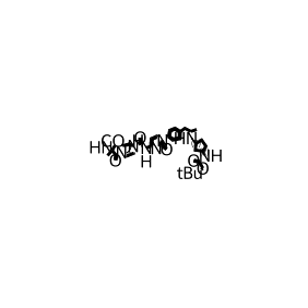 CC(Cc1ccc(-n2ccc(NC(=O)N3CCN(C(=O)C(C)(C)NC(=O)O)CC3)nc2=O)cc1)N[C@H]1CC[C@@H](NC(=O)OC(C)(C)C)C1